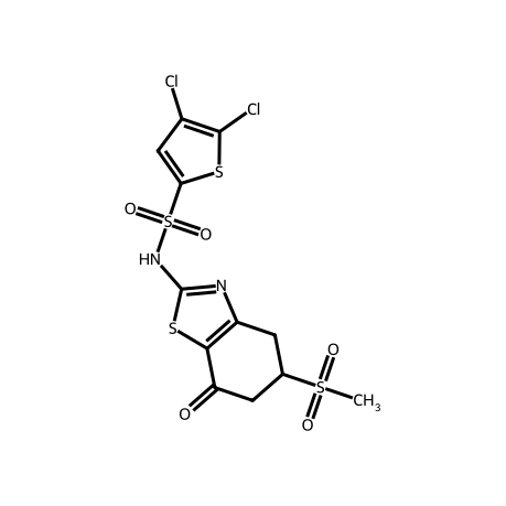 CS(=O)(=O)C1CC(=O)c2sc(NS(=O)(=O)c3cc(Cl)c(Cl)s3)nc2C1